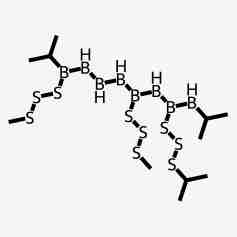 CSSSB(BBBB(SSSC)C(C)C)BB(BC(C)C)SSSC(C)C